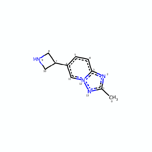 Cc1nc2ccc(C3CNC3)cn2n1